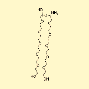 NC(O)COCCOCCOCCOCCOCCO.OCCOCCOCCOCCOCCOCCO